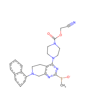 C[S+]([O-])c1nc2c(c(N3CCN(C(=O)OCC#N)CC3)n1)CCN(c1cccc3ccccc13)C2